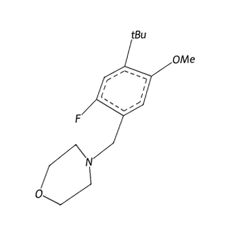 COc1cc(CN2CCOCC2)c(F)cc1C(C)(C)C